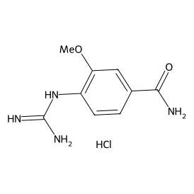 COc1cc(C(N)=O)ccc1NC(=N)N.Cl